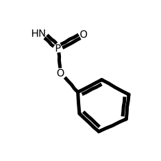 N=P(=O)Oc1ccccc1